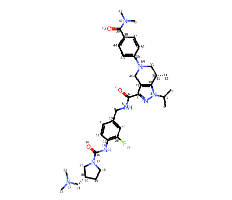 CC(C)n1nc(C(=O)NCc2ccc(NC(=O)N3CC[C@H](CN(C)C)C3)c(F)c2)c2c1[C@@H](C)CN(c1ccc(C(=O)N(C)C)cc1)C2